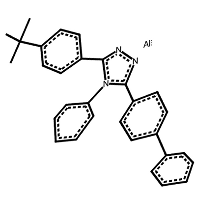 CC(C)(C)c1ccc(-c2nnc(-c3ccc(-c4ccccc4)cc3)n2-c2ccccc2)cc1.[Al]